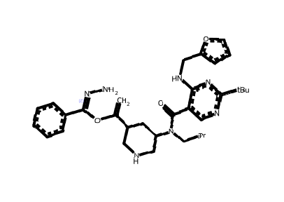 C=C(O/C(=N\N)c1ccccc1)C1CNCC(N(CC(C)C)C(=O)c2cnc(C(C)(C)C)nc2NCc2ccco2)C1